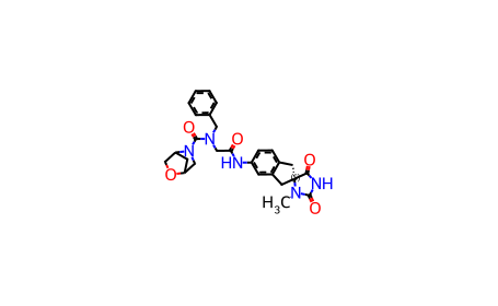 CN1C(=O)NC(=O)[C@@]12Cc1ccc(NC(=O)CN(Cc3ccccc3)C(=O)N3CC4CC3CO4)cc1C2